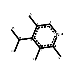 Cc1cnc(C)c(C)c1C(C)C